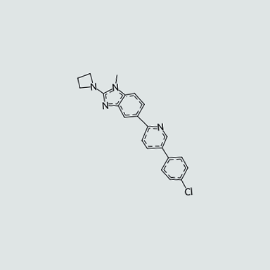 Cn1c(N2CCC2)nc2cc(-c3ccc(-c4ccc(Cl)cc4)cn3)ccc21